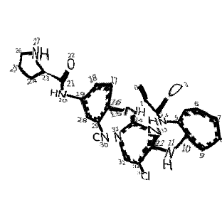 C=CC(=O)Nc1ccccc1Nc1nc(Nc2ccc(NC(=O)[C@H]3CCCN3)cc2C#N)ncc1Cl